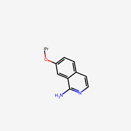 CC(C)Oc1ccc2ccnc(N)c2c1